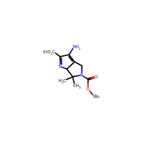 CCOC(=O)C1=NC2C(=C1N)CN(C(=O)OC(C)(C)C)C2(C)C